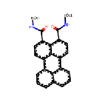 CCCCCCCCNC(=O)c1ccc2c3cccc4cccc(c5ccc(C(=O)NCCCCCCCC)c1c25)c43